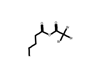 [CH2]CCCC(=O)OC(=O)C(Br)(Br)Br